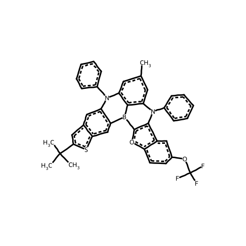 Cc1cc2c3c(c1)N(c1ccccc1)c1c(oc4ccc(OC(F)(F)F)cc14)B3c1cc3sc(C(C)(C)C)cc3cc1N2c1ccccc1